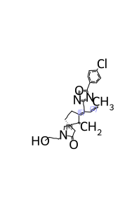 C=C1/C(=C(\C=C/C)c2noc(-c3ccc(Cl)cc3)n2)CC[C@@]12CC(=O)N(CCO)C2